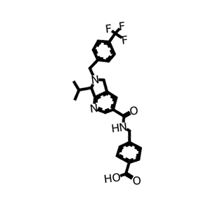 CC(C)C1c2ncc(C(=O)NCc3ccc(C(=O)O)cc3)cc2CN1Cc1ccc(C(F)(F)F)cc1